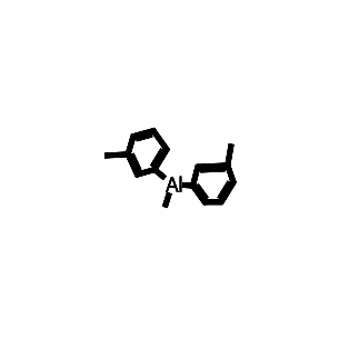 Cc1ccc[c]([Al]([CH3])[c]2cccc(C)c2)c1